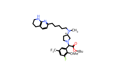 COc1c(F)cc(C(F)(F)F)cc1C(C(=O)OC(C)(C)C)N1CC[C@@H](N(C)CCCCCc2ccc3c(n2)NCCC3)C1